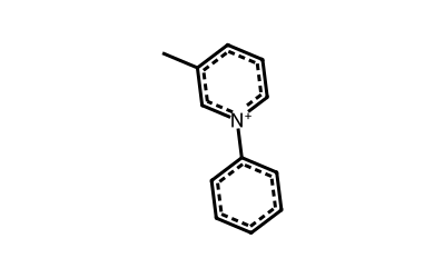 Cc1ccc[n+](-c2ccccc2)c1